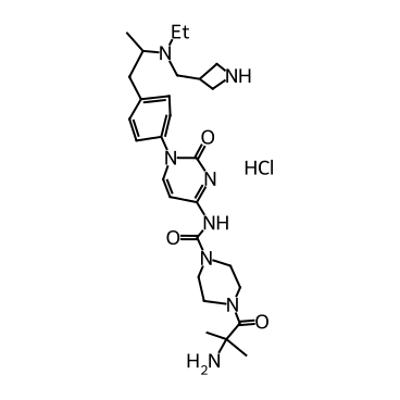 CCN(CC1CNC1)C(C)Cc1ccc(-n2ccc(NC(=O)N3CCN(C(=O)C(C)(C)N)CC3)nc2=O)cc1.Cl